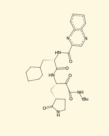 CC(C)(C)NC(=O)C(=O)[C@H](C[C@@H]1CCNC1=O)NC(=O)[C@H](CC1CCCCC1)NC(=O)c1cnc2ccccc2n1